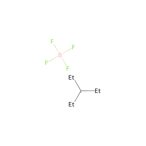 CC[C](CC)CC.F[B-](F)(F)F